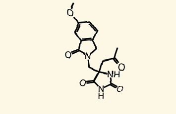 COc1ccc2c(c1)C(=O)N(CC1(CC(C)=O)NC(=O)NC1=O)C2